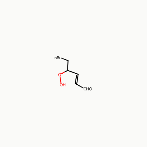 CCCCCC(C=CC=O)OO